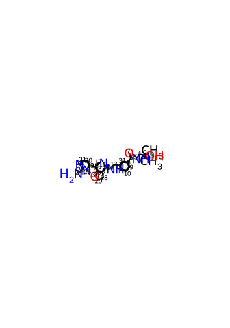 CC(C)(O)CNC(=O)c1cccc(CNc2ncc(-c3ccnc(N)n3)c3c2CCO3)c1